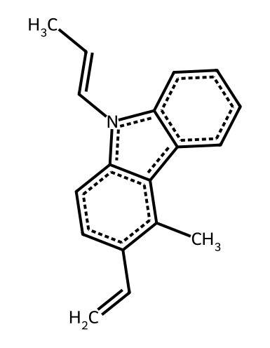 C=Cc1ccc2c(c1C)c1ccccc1n2C=CC